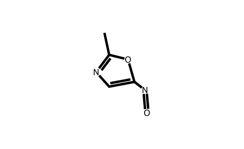 Cc1ncc(N=O)o1